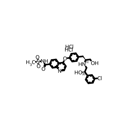 CS(=O)(=O)NC(=O)c1ccc2c(Oc3ccc(C[C@@H](CO)NC[C@H](O)c4cccc(Cl)c4)cc3)ccnc2c1.Cl.Cl